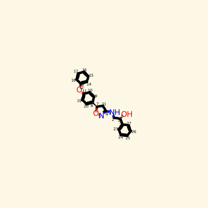 O[C@H](CNC1=NO[C@@H](c2ccc(Oc3ccccc3)cc2)C1)c1ccccc1